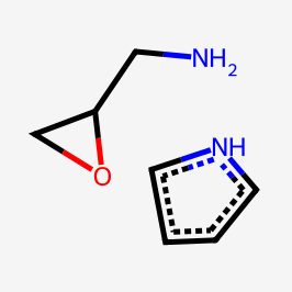 NCC1CO1.c1cc[nH]c1